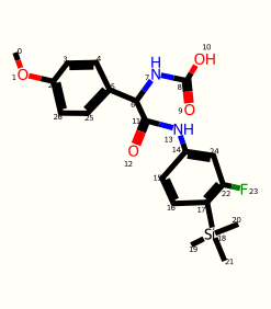 COc1ccc(C(NC(=O)O)C(=O)Nc2ccc([Si](C)(C)C)c(F)c2)cc1